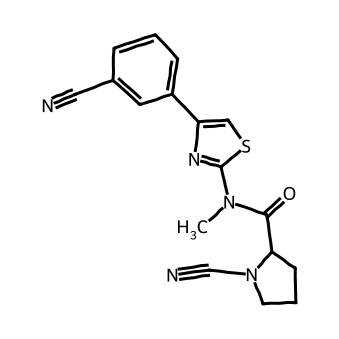 CN(C(=O)C1CCCN1C#N)c1nc(-c2cccc(C#N)c2)cs1